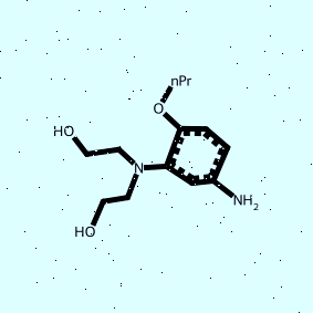 CCCOc1ccc(N)cc1N(CCO)CCO